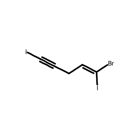 BrC(I)=CCC#CI